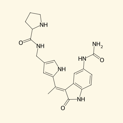 CC(=C1C(=O)Nc2ccc(NC(N)=O)cc21)c1cc(CNC(=O)C2CCCN2)c[nH]1